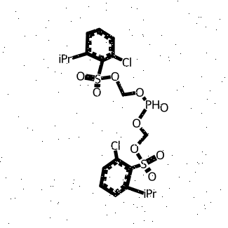 CC(C)c1cccc(Cl)c1S(=O)(=O)OCO[PH](=O)OCOS(=O)(=O)c1c(Cl)cccc1C(C)C